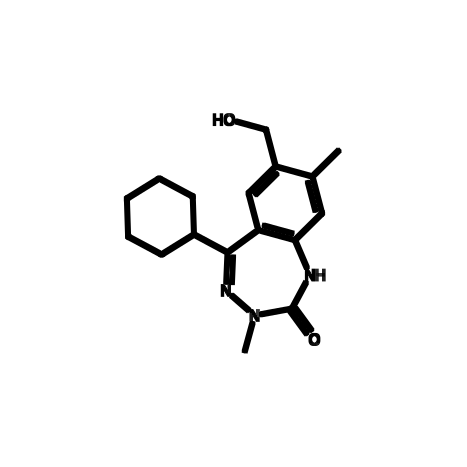 Cc1cc2c(cc1CO)C(C1CCCCC1)=NN(C)C(=O)N2